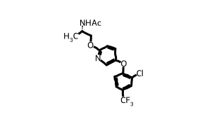 CC(=O)N[C@@H](C)COc1ccc(Oc2ccc(C(F)(F)F)cc2Cl)cn1